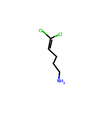 NCCCC=C(Cl)Cl